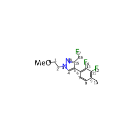 COCCn1cc(-c2ccc(C)c(F)c2F)c(CF)n1